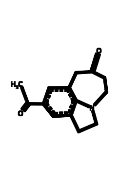 CC(=O)c1cc2c3c(c1)CC(=O)CCN3CC2